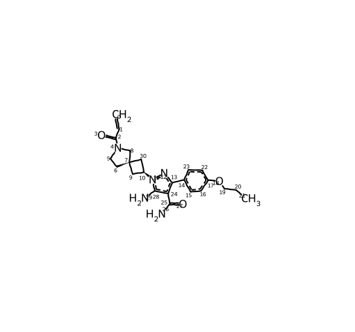 C=CC(=O)N1CC[C@]2(C1)C[C@H](n1nc(-c3ccc(OCCC)cc3)c(C(N)=O)c1N)C2